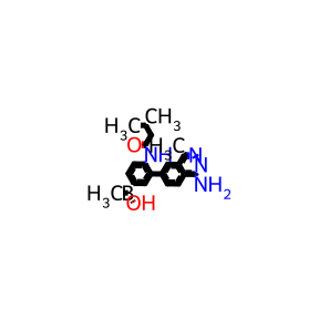 CB(O)c1ccc(NC(=O)CC(C)C)c(-c2ccc3c(N)nnc(C)c3c2)c1